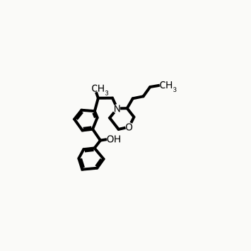 CCCCC1COCCN1CC(C)c1cccc(C(O)c2ccccc2)c1